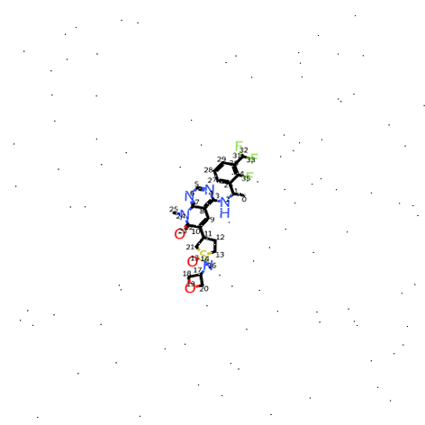 CC(Nc1ncnc2c1cc(C1CCS(=O)(=NC3COC3)C1)c(=O)n2C)c1cccc(C(F)F)c1F